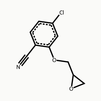 N#Cc1ccc(Cl)cc1OCC1CO1